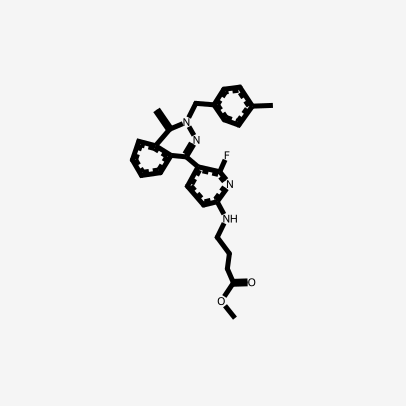 C=C1c2ccccc2C(c2ccc(NCCCC(=O)OC)nc2F)=NN1Cc1ccc(C)cc1